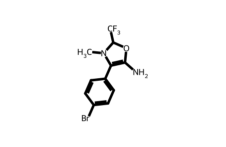 CN1C(c2ccc(Br)cc2)=C(N)OC1C(F)(F)F